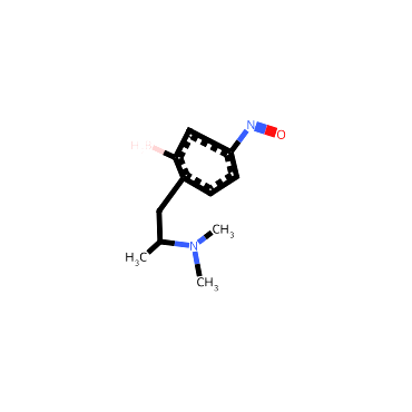 Bc1cc(N=O)ccc1CC(C)N(C)C